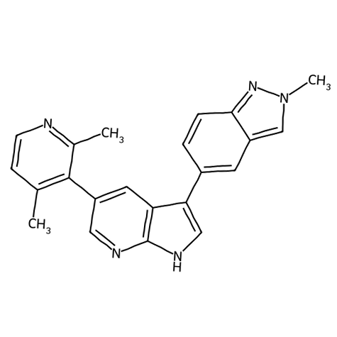 Cc1ccnc(C)c1-c1cnc2[nH]cc(-c3ccc4nn(C)cc4c3)c2c1